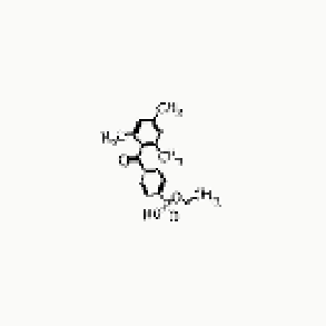 CCOP(=O)(O)c1ccc(C(=O)c2c(C)cc(C)cc2C)cc1